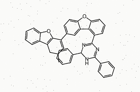 CC1C=C(c2ccc3oc4cccc(C5=NC(c6ccccc6)NC(c6ccccc6)=N5)c4c3c2)c2oc3ccccc3c2C1